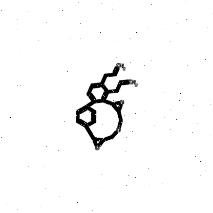 C=CCc1ccc2c(c1CC=C)C1OC1COCC1OC1c1ccc-2cc1